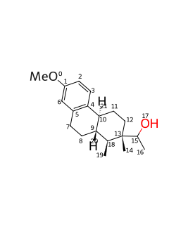 COc1ccc2c(c1)CC[C@@H]1[C@@H]2CC[C@](C)(C(C)O)[C@H]1C